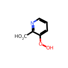 O=C(O)c1ncccc1OO